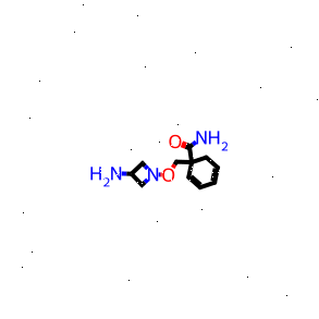 NC(=O)C1(CON2CC(N)C2)C=CC=CC1